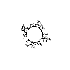 CCC(C)[C@@H]1NC(=O)CN(C)C(=O)[C@@H](Cc2ccc(Cl)cc2)N(C)C(=O)[C@H](C)NC(=O)[C@@H](CC(C)C)OC(=O)/C(C)=C/C[C@H](O)[C@H](C)[C@@H]([C@@H](C)CC)NC(=O)[C@@H](C)NC1=O